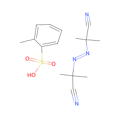 CC(C)(C#N)N=NC(C)(C)C#N.Cc1ccccc1S(=O)(=O)O